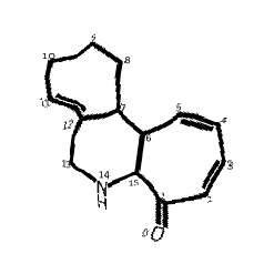 O=C1C=CC=CC2C3CCCC=C3CNC12